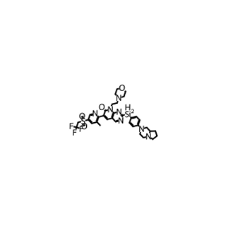 Cc1cc(S(=O)(=O)CC(F)(F)F)cnc1-c1cc2cnc([SiH2]c3ccc(N4CCN5CCCC5C4)cc3)nc2n(CCN2CCOCC2)c1=O